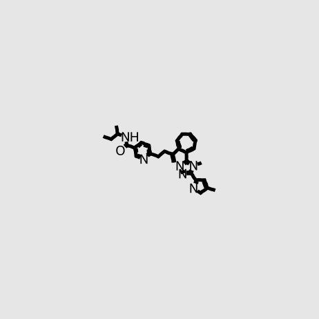 C=C(CCc1ccc(C(=O)NC(C)CC)cn1)C1=CCC=CC=C1c1nnc(C2=NCC(C)=C2)n1C